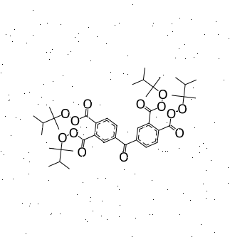 CC(C)C(C)(C)OOC(=O)c1ccc(C(=O)c2ccc(C(=O)OOC(C)(C)C(C)C)c(C(=O)OOC(C)(C)C(C)C)c2)cc1C(=O)OOC(C)(C)C(C)C